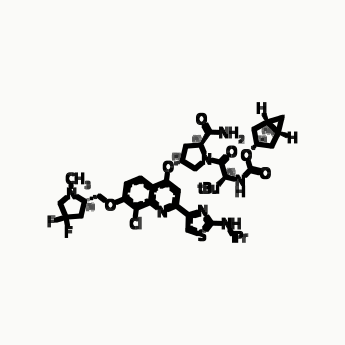 CC(C)Nc1nc(-c2cc(O[C@@H]3C[C@@H](C(N)=O)N(C(=O)[C@@H](NC(=O)O[C@@H]4C[C@@H]5C[C@@H]5C4)C(C)(C)C)C3)c3ccc(OC[C@@H]4CC(F)(F)CN4C)c(Cl)c3n2)cs1